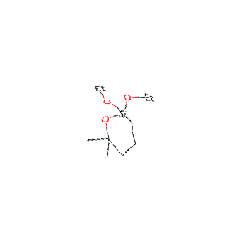 CCO[Si]1(OCC)CCCC(C)(C)O1